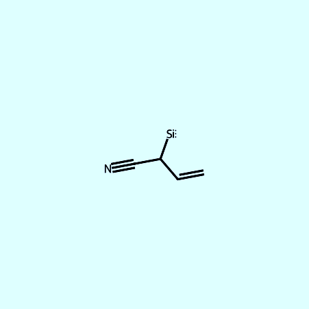 C=CC([Si])C#N